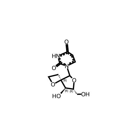 O=c1ccn(C2O[C@H](CO)[C@@H](O)[C@]23CCO3)c(=O)[nH]1